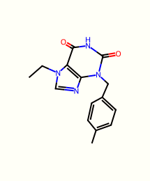 CCn1cnc2c1c(=O)[nH]c(=O)n2Cc1ccc(C)cc1